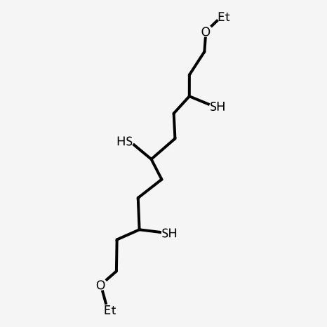 CCOCCC(S)CCC(S)CCC(S)CCOCC